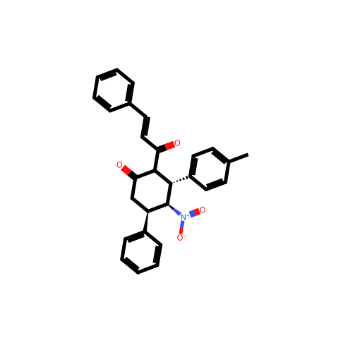 Cc1ccc([C@H]2C(C(=O)/C=C/c3ccccc3)C(=O)C[C@H](c3ccccc3)[C@@H]2[N+](=O)[O-])cc1